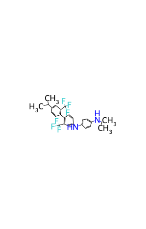 CC(C)Nc1ccc(Nc2ccc(-c3ccc(C(C)C)cc3C(F)(F)F)c(C(F)(F)F)c2)cc1